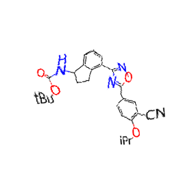 CC(C)Oc1ccc(-c2nc(-c3cccc4c3CCC4NC(=O)OC(C)(C)C)no2)cc1C#N